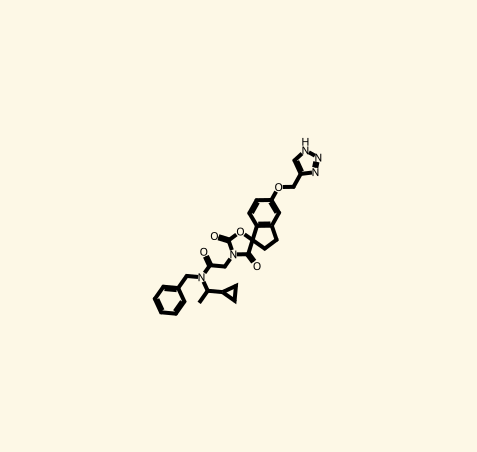 CC(C1CC1)N(Cc1ccccc1)C(=O)CN1C(=O)OC2(CCc3cc(OCc4c[nH]nn4)ccc32)C1=O